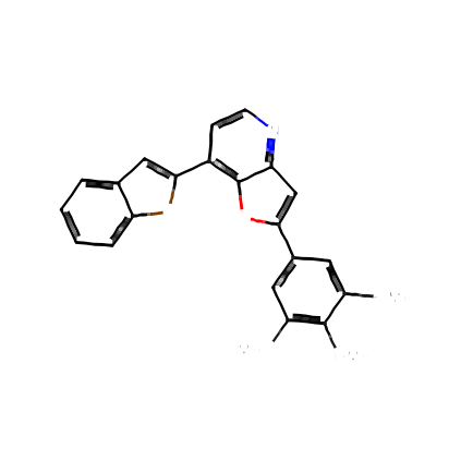 COc1cc(-c2cc3nccc(-c4cc5ccccc5s4)c3o2)cc(OC)c1OC